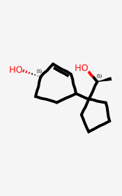 C[C@H](O)C1(C2C=C[C@@H](O)CC2)CCCC1